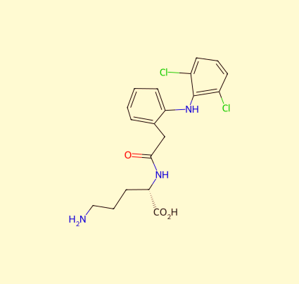 NCCC[C@H](NC(=O)Cc1ccccc1Nc1c(Cl)cccc1Cl)C(=O)O